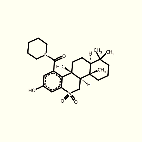 CC1(C)CCC[C@]2(C)[C@H]3CS(=O)(=O)c4cc(O)cc(C(=O)N5CCCCC5)c4[C@]3(C)CC[C@@H]12